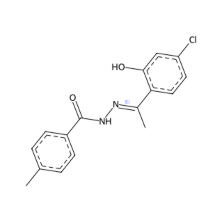 C/C(=N\NC(=O)c1ccc(C)cc1)c1ccc(Cl)cc1O